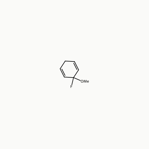 COC1(F)C=CCC=C1